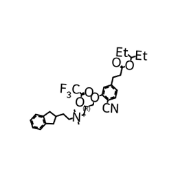 CCC(CC)OC(=O)CCc1ccc(C#N)c(OC[C@@H](C[N+](C)(C)CCC2Cc3ccccc3C2)OC(=O)C(F)(F)F)c1